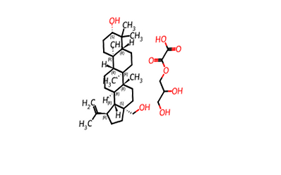 C=C(C)[C@@H]1CC[C@]2(CO)CC[C@]3(C)[C@H](CC[C@@H]4[C@@]5(C)CC[C@H](O)C(C)(C)[C@@H]5CC[C@]43C)[C@@H]12.O=C(O)C(=O)OCC(O)CO